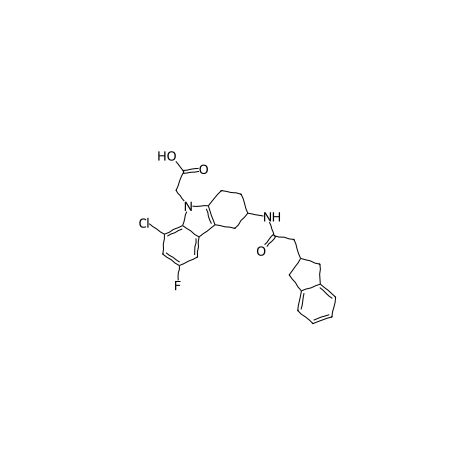 O=C(O)Cn1c2c(c3cc(F)cc(Cl)c31)CC(NC(=O)CC1Cc3ccccc3C1)CC2